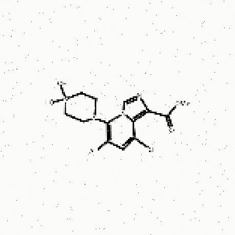 COC(=O)c1ncn2c(N3CCS(O)(O)CC3)c(C(C)=O)cc(Cl)c12